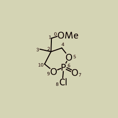 COCC1(C)COP(=O)(Cl)OC1